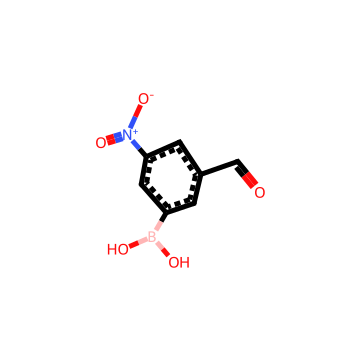 O=Cc1cc(B(O)O)cc([N+](=O)[O-])c1